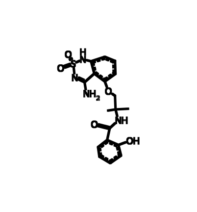 CC(C)(COc1cccc2c1C(N)=NS(=O)(=O)N2)NC(=O)c1ccccc1O